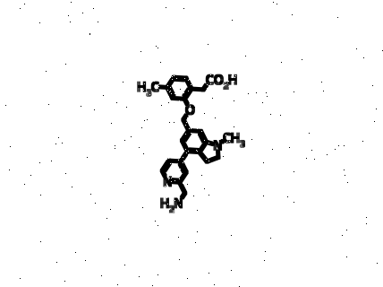 Cc1ccc(CC(=O)O)c(OCc2cc(-c3ccnc(CN)c3)c3c(c2)N(C)CC3)c1